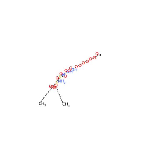 CCCCCCCCCCCCCCCC(=O)OCC(CSCC(N)C(=O)CSC1CC(=O)N(CCC(=O)NOCC(=O)NCCOCCOCCOCCOCCOCCOCCC(=O)C2CC2)C1=O)OC(=O)CCCCCCCCCCCCCCC